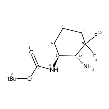 CC(C)(C)OC(=O)N[C@H]1CCCC(F)(F)[C@@H]1N